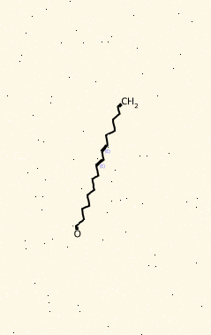 C=CCCCC/C=C/C=C/CCCCCCC[C]=O